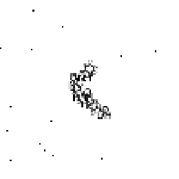 [2H]C([2H])(NC(=O)c1cc(C(=O)NCc2ccccc2)ncn1)c1ccc(C(=O)O)cc1